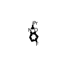 CC(C)c1nc2ccc(F)cc2o1